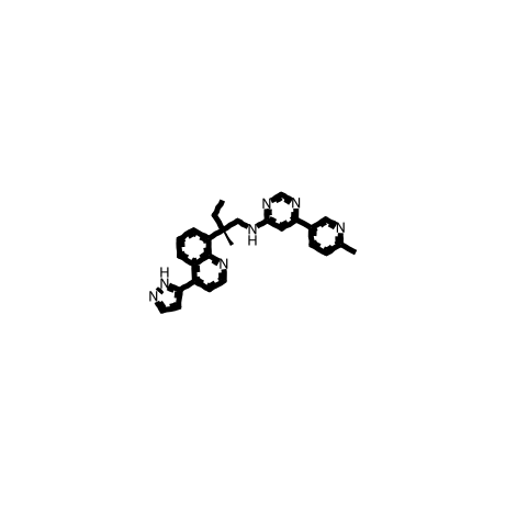 CC[C@](C)(CNc1cc(-c2ccc(C)nc2)ncn1)c1cccc2c(-c3ccn[nH]3)ccnc12